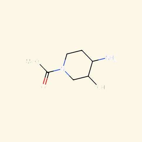 COC(=O)N1CCC(N)C(C)C1